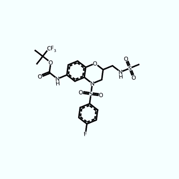 CC(C)(OC(=O)Nc1ccc2c(c1)N(S(=O)(=O)c1ccc(F)cc1)CC(CNS(C)(=O)=O)O2)C(F)(F)F